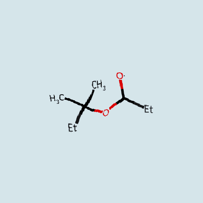 CCC([O])OC(C)(C)CC